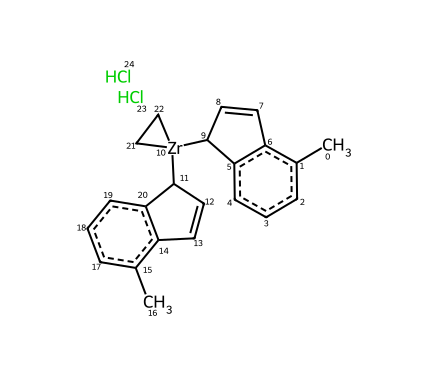 Cc1cccc2c1C=C[CH]2[Zr]1([CH]2C=Cc3c(C)cccc32)[CH2][CH2]1.Cl.Cl